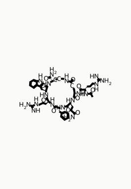 CC(=O)N[C@@H](CCCNC(=N)N)C(=O)N[C@H]1CCC(=O)NCCC[C@@H](C(N)=O)NC(=O)[C@H](Cc2c[nH]c3ccccc23)NC(=O)[C@H](CCCNC(=N)N)NC(=O)[C@@H](Cc2ccccc2)NC(=O)[C@H](CCC(N)=O)NC1=O